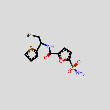 CC(C)CC(NC(=O)c1ccc(S(N)(=O)=O)o1)c1cccs1